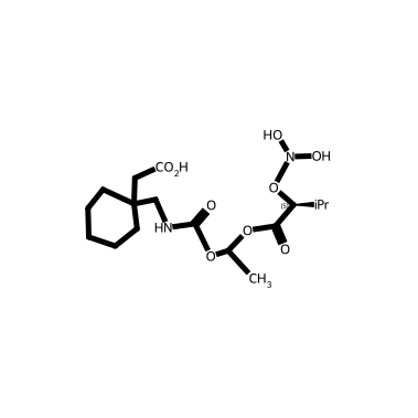 CC(OC(=O)NCC1(CC(=O)O)CCCCC1)OC(=O)[C@@H](ON(O)O)C(C)C